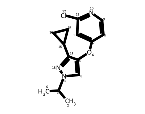 CC(C)n1cc(Oc2ccnc(Cl)c2)c(C2CC2)n1